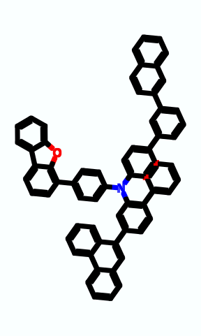 c1ccc(-c2ccc(-c3cc4ccccc4c4ccccc34)cc2N(c2ccc(-c3cccc(-c4ccc5ccccc5c4)c3)cc2)c2ccc(-c3cccc4c3oc3ccccc34)cc2)cc1